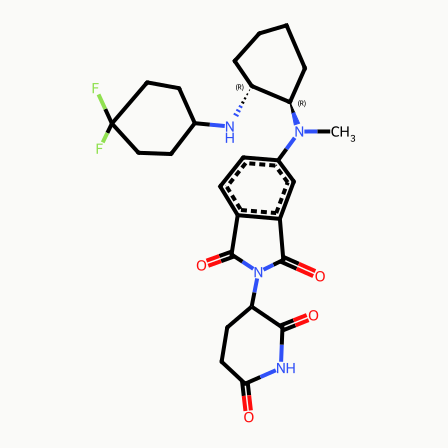 CN(c1ccc2c(c1)C(=O)N(C1CCC(=O)NC1=O)C2=O)[C@@H]1CCCC[C@H]1NC1CCC(F)(F)CC1